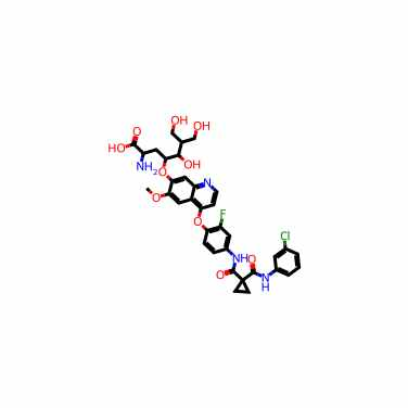 COc1cc2c(Oc3ccc(NC(=O)C4(C(=O)Nc5cccc(Cl)c5)CC4)cc3F)ccnc2cc1OC(CC(N)C(=O)O)C(O)C(CO)CO